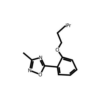 Cc1noc(-c2ccccc2OCCC(C)C)n1